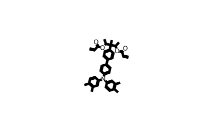 C=CC(=O)OC(C)C(C)(c1ccc(-c2ccc(N(c3ccc(C)c(C)c3)c3ccc(C)c(C)c3)cc2)cc1)C(C)OC(=O)C=C